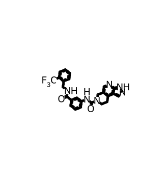 O=C(NCc1ccccc1C(F)(F)F)c1cccc(NC(=O)N2CCc3c(cnc4[nH]ncc34)C2)c1